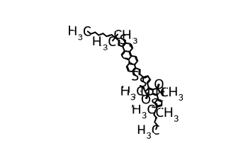 CCCCCCCC(C)(C)c1cc2c(ccc3c2ccc2c4ccc5sc(-c6ccc(C7=C8C(=O)N(C)C(c9ccc(C(C)(C)CCCCC)s9)=C8C(=O)N7C)s6)cc5c4ccc32)s1